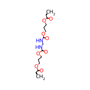 C=CC(=O)OCCCOC(=O)NCNC(=O)OCCCOC(=O)C=C